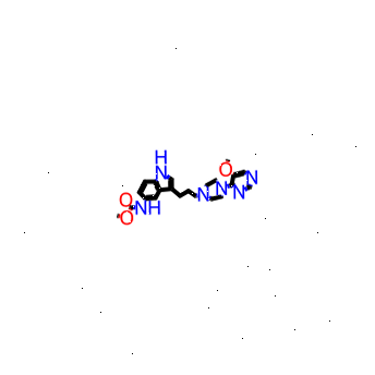 COC(=O)Nc1ccc2[nH]cc(CCCN3CCN(c4ncncc4OC)CC3)c2c1